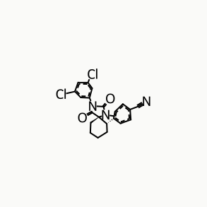 CN1C(=O)N(c2cc(Cl)cc(Cl)c2)C(=O)[C@]12CCCC[C@H]2c1ccc(C#N)cc1